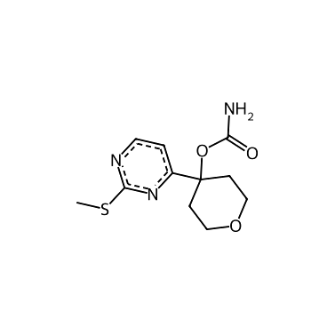 CSc1nccc(C2(OC(N)=O)CCOCC2)n1